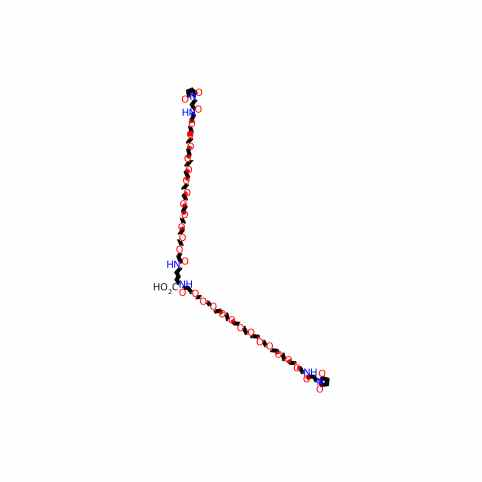 O=C(CCOCCOCCOCCOCCOCCOCCOCCOCCOCCOCCOCCOCCNC(=O)CCN1C(=O)C=CC1=O)NCCCC[C@H](NC(=O)CCOCCOCCOCCOCCOCCOCCOCCOCCOCCOCCOCCOCCNC(=O)CCN1C(=O)C=CC1=O)C(=O)O